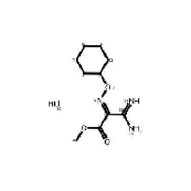 COC(=O)/C(=N/OC1CCCCC1)C(=N)N.Cl